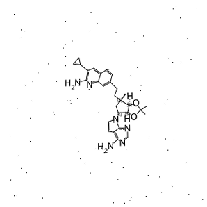 CC1(C)O[C@H]2[C@H](n3ccc4c(N)ncnc43)C[C@](C)(CCc3ccc4cc(C5CC5)c(N)nc4c3)[C@H]2O1